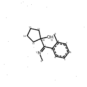 C/N=C(\c1ccccc1C)C1(O)CCCC1